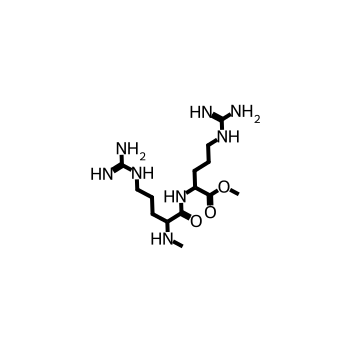 CNC(CCCNC(=N)N)C(=O)NC(CCCNC(=N)N)C(=O)OC